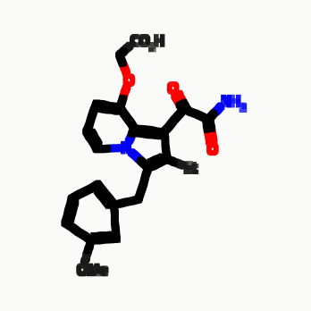 CCc1c(C(=O)C(N)=O)c2c(OCC(=O)O)cccn2c1Cc1cccc(OC)c1